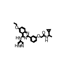 CCOc1ccc2nc(-c3cccc(OCC(=O)NC(C)C4CC4)c3)nc(Nc3cn[nH]c3)c2c1